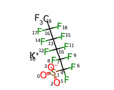 O=S(=O)([O-])C(F)(F)C(F)(F)C(F)(F)C(F)(F)C(F)(F)C(F)(F)F.[K+]